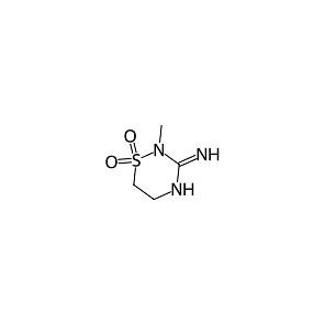 CN1C(=N)NCCS1(=O)=O